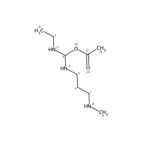 CCNC(NCCCNC)OC(C)=O